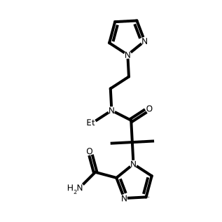 CCN(CCn1cccn1)C(=O)C(C)(C)n1c[c]nc1C(N)=O